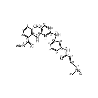 CNC(=O)c1ccccc1Nc1nc(Nc2cccc(NC(=O)/C=C/CN(C)C)c2)ncc1Cl